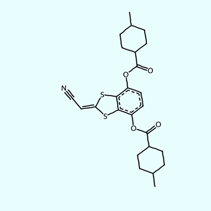 CC1CCC(C(=O)Oc2ccc(OC(=O)C3CCC(C)CC3)c3c2SC(=CC#N)S3)CC1